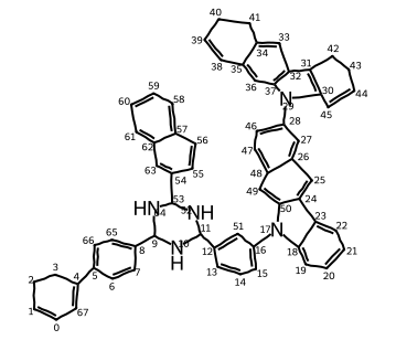 C1=CCCC(c2ccc(C3NC(c4cccc(-n5c6ccccc6c6cc7cc(-n8c9c(c%10cc%11c(cc%108)C=CCC%11)CCC=C9)ccc7cc65)c4)NC(c4ccc5ccccc5c4)N3)cc2)=C1